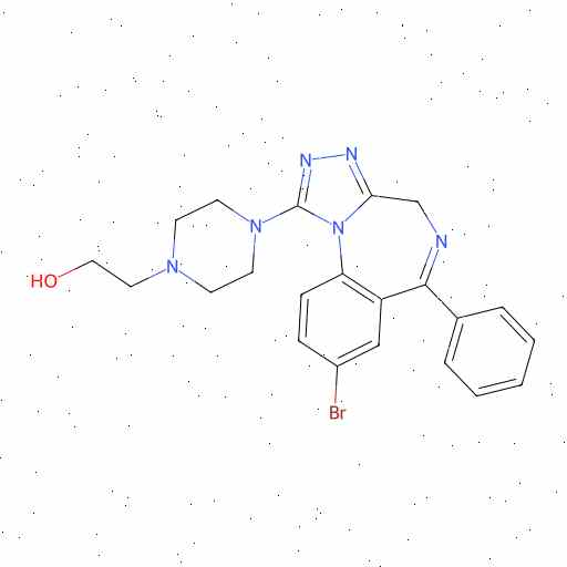 OCCN1CCN(c2nnc3n2-c2ccc(Br)cc2C(c2ccccc2)=NC3)CC1